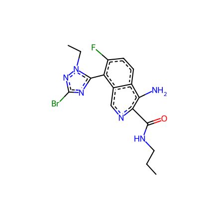 CCCNC(=O)c1ncc2c(-c3nc(Br)nn3CC)c(F)ccc2c1N